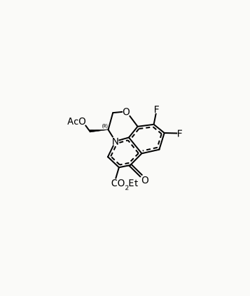 CCOC(=O)c1cn2c3c(c(F)c(F)cc3c1=O)OC[C@@H]2COC(C)=O